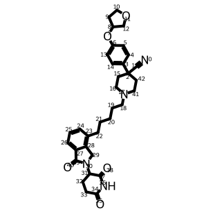 N#CC1(c2ccc(OC3CCOC3)cc2)CCN(CCCCCc2cccc3c2CN(C2CCC(=O)NC2=O)C3=O)CC1